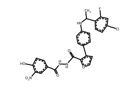 CC(Nc1ccc(-c2ccoc2C(=O)NNC(=O)c2ccc(O)c([N+](=O)[O-])c2)cc1)c1ccc(Cl)cc1F